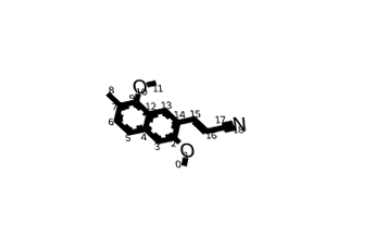 COc1cc2ccc(C)c(OC)c2cc1C=CC#N